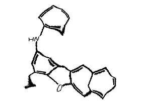 Cc1cc(Nc2ccccc2)cc2c1oc1cc3ccccc3cc12